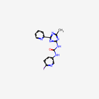 Cc1nc(NC(=O)Nc2ccc(I)nc2)nc(-c2ccccn2)n1